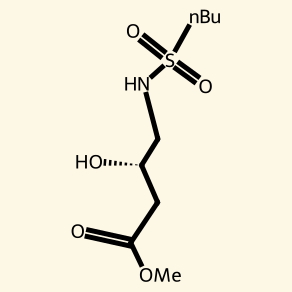 CCCCS(=O)(=O)NC[C@@H](O)CC(=O)OC